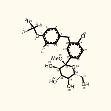 [2H]C([2H])([2H])Oc1ccc(Cc2cc([C@]3(OC)O[C@H](CO)[C@@H](O)[C@H](O)[C@H]3O)ccc2Cl)cc1F